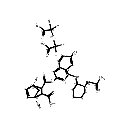 COC(=O)C1C(C(=O)Nc2nc(NC3CCCCC3NC(=N)N)c3cc(C)ccc3n2)[C@@H]2C=C[C@H]1C2.O=C(O)C(F)(F)F.O=C(O)C(F)(F)F